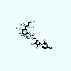 C[C@@H]1C[C@@](OP(=O)(O)OC[C@H]2O[C@@H](n3ccc(N)nc3=O)[C@@H](O)C2O)(C(=O)O)OC([C@H](O)[C@H](O)CO)[C@@H]1N